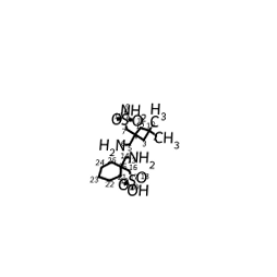 CC1(C)CC(CN)(CS(N)(=O)=O)C1.NCC1(CS(=O)(=O)O)CCCCC1